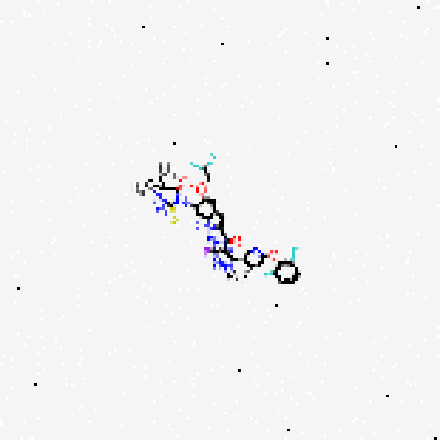 Cc1cc(Oc2c(F)cccc2F)ncc1C1=C(C(=O)c2cc3cc(OCC(F)F)c(N4C(=O)C(C)(C)NC4=S)cc3[nH]2)C(N)(I)N=N1